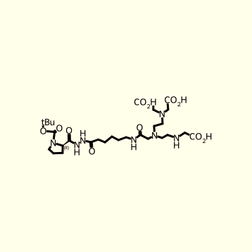 CC(C)(C)OC(=O)N1CCC[C@@H]1C(=O)NNC(=O)CCCCCNC(=O)CN(CCNCC(=O)O)CCN(CC(=O)O)CC(=O)O